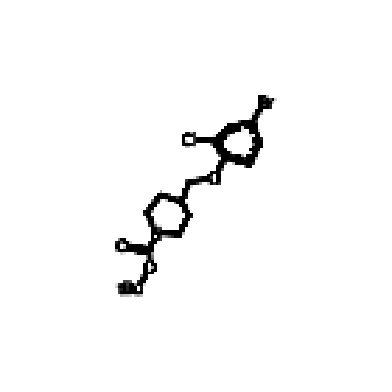 CC(C)(C)OC(=O)N1CCC(COc2ccc(Br)cc2Cl)CC1